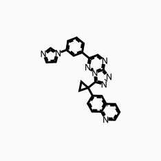 c1cc(-c2cnc3nnc(C4(c5ccc6ncccc6c5)CC4)n3n2)cc(-n2ccnc2)c1